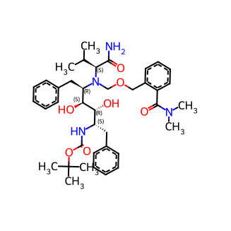 CC(C)[C@@H](C(N)=O)N(COCc1ccccc1C(=O)N(C)C)[C@H](Cc1ccccc1)[C@H](O)[C@H](O)[C@H](Cc1ccccc1)NC(=O)OC(C)(C)C